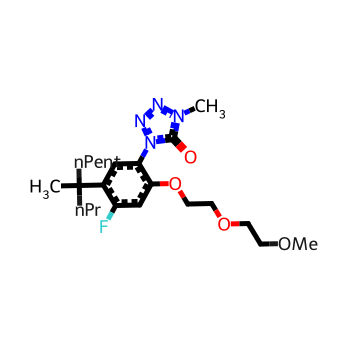 CCCCCC(C)(CCC)c1cc(-n2nnn(C)c2=O)c(OCCOCCOC)cc1F